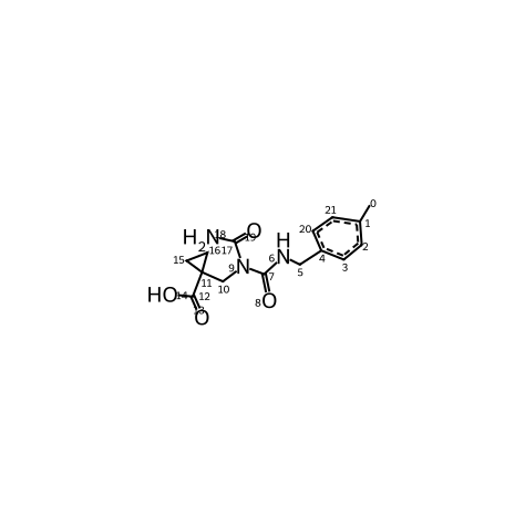 Cc1ccc(CNC(=O)N(CC2(C(=O)O)CC2)C(N)=O)cc1